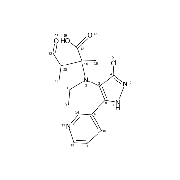 CCN(c1c(Cl)n[nH]c1-c1cccnc1)C(C)(C(=O)O)C(C)C=O